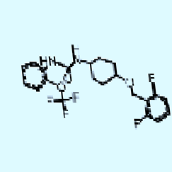 O=C(Nc1ccccc1OC(F)(F)F)NC1CCC(OCc2c(F)cccc2F)CC1